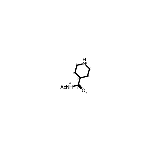 CC(=O)NC(=O)C1CCNCC1